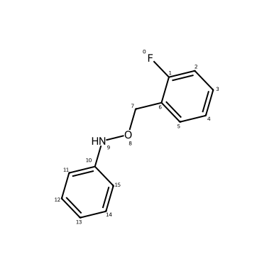 Fc1ccccc1CONc1ccccc1